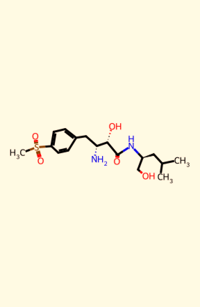 CC(C)C[C@@H](CO)NC(=O)[C@@H](O)[C@H](N)Cc1ccc(S(C)(=O)=O)cc1